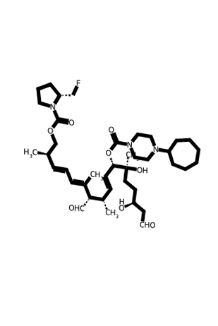 C/C(=C\C=C\[C@@H](C)COC(=O)N1CCC[C@@H]1CF)[C@@H](C=O)[C@@H](C)/C=C/[C@H](OC(=O)N1CCN(C2CCCCCC2)CC1)[C@@](C)(O)CC[C@H](O)CC=O